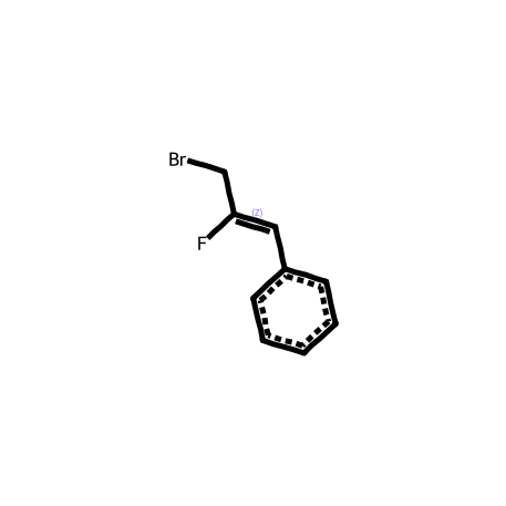 F/C(=C\c1ccccc1)CBr